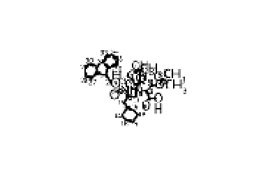 CC(C)(C)OC[C@@H](C(=O)O)N(CC(CC1CCCCC1)NC(=O)OCC1c2ccccc2-c2ccccc21)C(=O)OC(C)(C)C